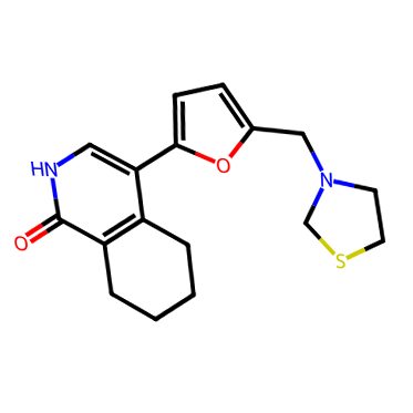 O=c1[nH]cc(-c2ccc(CN3CCSC3)o2)c2c1CCCC2